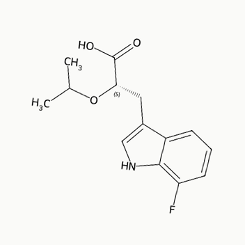 CC(C)O[C@@H](Cc1c[nH]c2c(F)cccc12)C(=O)O